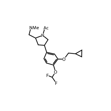 CNCC1CC(c2ccc(OC(F)F)c(OCC3CC3)c2)CN1C(C)=O